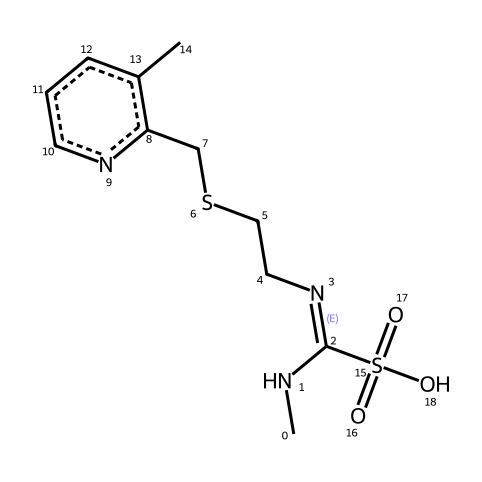 CN/C(=N\CCSCc1ncccc1C)S(=O)(=O)O